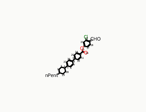 CCCCCC1CCC(c2ccc(-c3ccc(C(=O)Oc4ccc(C=O)c(Cl)c4)cc3)cc2)CC1